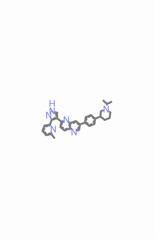 Cc1cccc(-c2n[nH]cc2-c2ccc3ncc(-c4ccc(C5CCCN(C(C)C)C5)cc4)cc3n2)n1